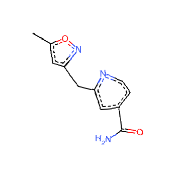 Cc1cc(Cc2cc(C(N)=O)ccn2)no1